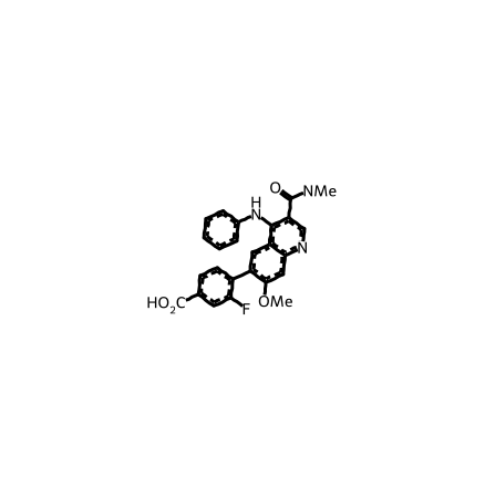 CNC(=O)c1cnc2cc(OC)c(-c3ccc(C(=O)O)cc3F)cc2c1Nc1ccccc1